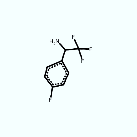 NC(c1ccc(F)cc1)C(F)(F)F